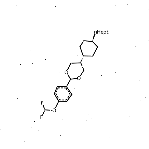 CCCCCCC[C@H]1CC[C@H](C2COC(c3ccc(OC(F)F)cc3)OC2)CC1